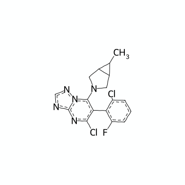 CC1C2CN(c3c(-c4c(F)cccc4Cl)c(Cl)nc4ncnn34)CC12